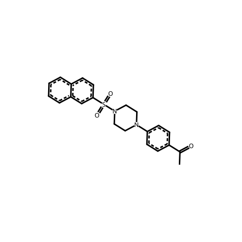 CC(=O)c1ccc(N2CCN(S(=O)(=O)c3ccc4ccccc4c3)CC2)cc1